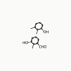 Cc1c(O)cccc1C=O.Cc1cccc(O)c1C